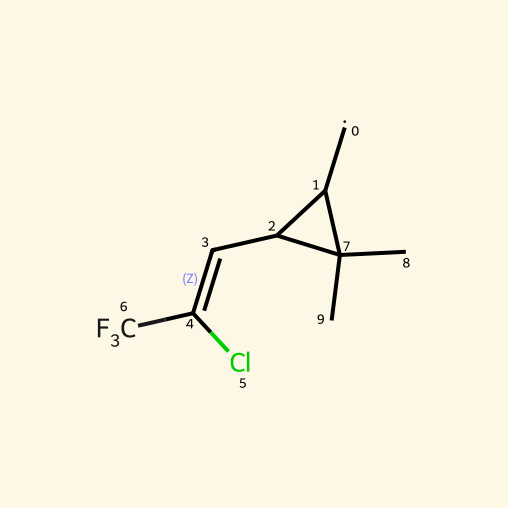 [CH2]C1C(/C=C(\Cl)C(F)(F)F)C1(C)C